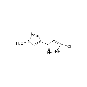 Cn1cc(-c2cc(Cl)[nH]n2)cn1